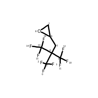 FC(F)(F)C(CC1CO1)(C(F)(F)F)C(F)(F)F